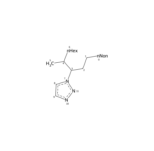 CCCCCCCCCCCC(C(C)CCCCCC)n1ccnn1